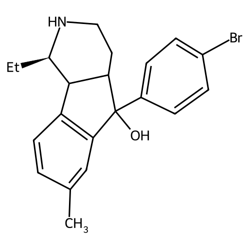 CC[C@H]1NCCC2C1c1ccc(C)cc1C2(O)c1ccc(Br)cc1